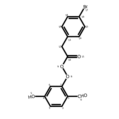 O=Cc1ccc(O)cc1OOC(=O)Cc1ccc(Br)cc1